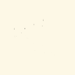 CC(C)[Si](C#Cc1ccc2cc3ccccc3cc2c1C#C[Si](C(C)C)(C(C)C)C(C)C)(C(C)C)C(C)C